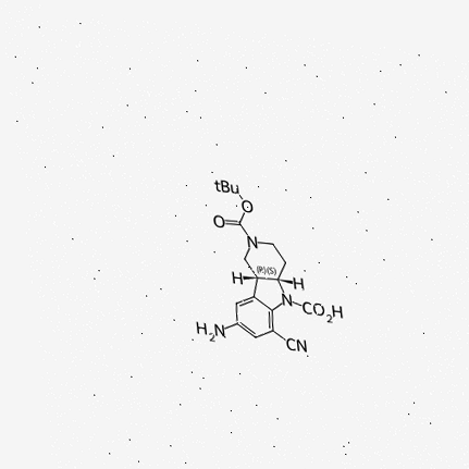 CC(C)(C)OC(=O)N1CC[C@H]2[C@@H](C1)c1cc(N)cc(C#N)c1N2C(=O)O